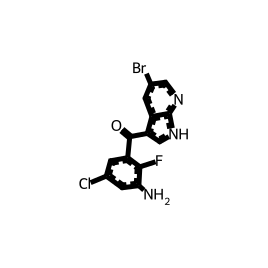 Nc1cc(Cl)cc(C(=O)c2c[nH]c3ncc(Br)cc23)c1F